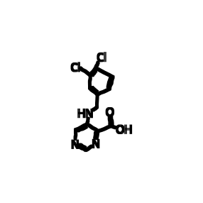 O=C(O)c1ncncc1NCc1ccc(Cl)c(Cl)c1